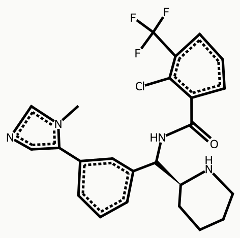 Cn1cncc1-c1cccc(C(NC(=O)c2cccc(C(F)(F)F)c2Cl)[C@@H]2CCCCN2)c1